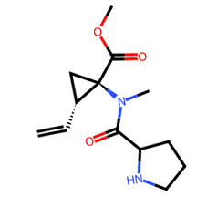 C=C[C@@H]1C[C@@]1(C(=O)OC)N(C)C(=O)C1CCCN1